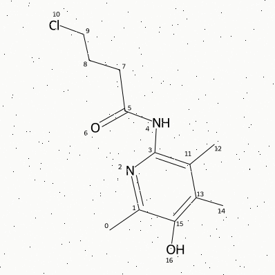 Cc1nc(NC(=O)CCCCl)c(C)c(C)c1O